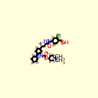 C[N+]1(C)CCC(OC(=O)Nc2cc(CCCC(=O)Nc3ccc(CO)c(Cl)c3)ccc2-c2ccccc2)CC1.[I-]